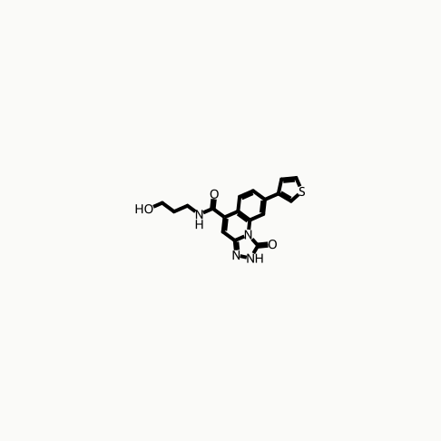 O=C(NCCCO)c1cc2n[nH]c(=O)n2c2cc(-c3ccsc3)ccc12